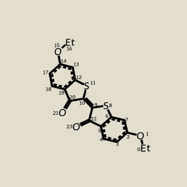 CCOc1ccc2c(c1)S/C(=C1\Sc3cc(OCC)ccc3C1=O)C2=O